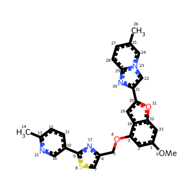 COc1cc(OCc2csc(-c3ccc(C)nc3)n2)c2cc(-c3cn4cc(C)ccc4n3)oc2c1